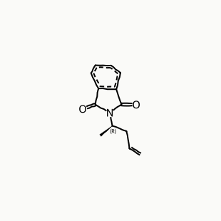 C=CC[C@@H](C)N1C(=O)c2ccccc2C1=O